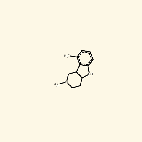 Cc1cccc2c1C1CN(C)CCC1N2